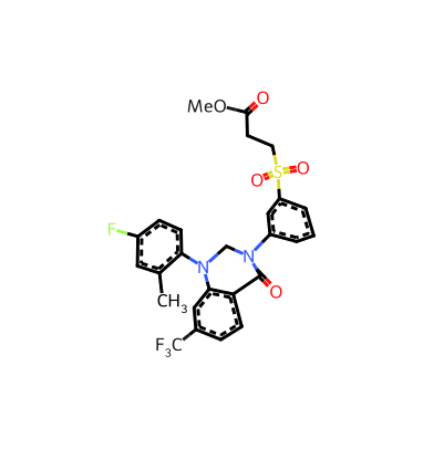 COC(=O)CCS(=O)(=O)c1cccc(N2CN(c3ccc(F)cc3C)c3cc(C(F)(F)F)ccc3C2=O)c1